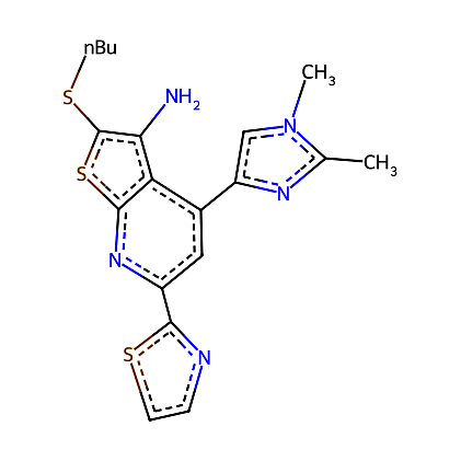 CCCCSc1sc2nc(-c3nccs3)cc(-c3cn(C)c(C)n3)c2c1N